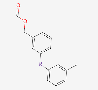 Cc1cccc([I+]c2cccc(COC=O)c2)c1